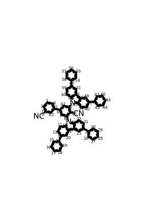 N#Cc1cccc(-c2cc(-n3c4ccc(-c5ccccc5)cc4c4cc(-c5ccccc5)ccc43)c(C#N)c(-n3c4ccc(-c5ccccc5)cc4c4cc(-c5ccccc5)ccc43)c2)c1